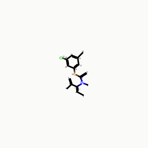 C=C(C)/C(=C/C)N(C)C(=C)Sc1cc(C)cc(Cl)c1